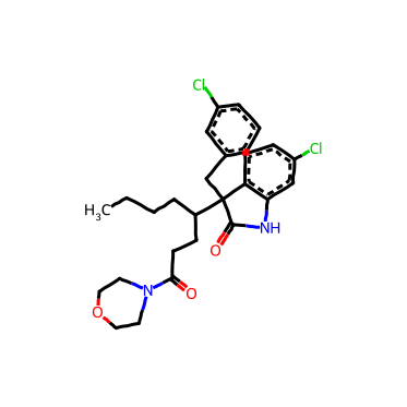 CCCCC(CCC(=O)N1CCOCC1)C1(Cc2cccc(Cl)c2)C(=O)Nc2cc(Cl)ccc21